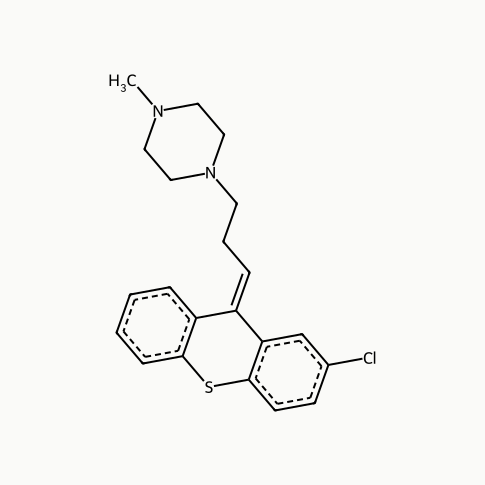 CN1CCN(CC/C=C2\c3ccccc3Sc3ccc(Cl)cc32)CC1